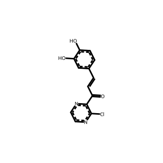 O=C(C=Cc1ccc(O)c(O)c1)c1nccnc1Cl